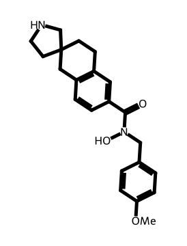 COc1ccc(CN(O)C(=O)c2ccc3c(c2)CCC2(CCNC2)C3)cc1